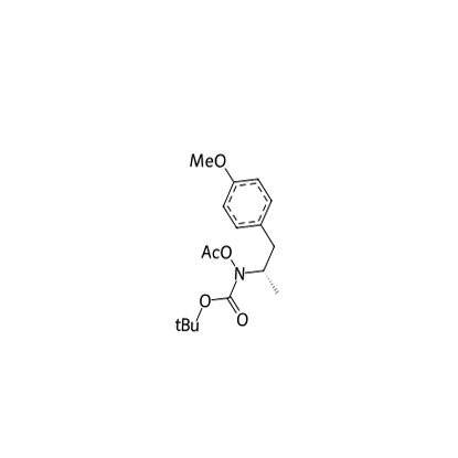 COc1ccc(C[C@H](C)N(OC(C)=O)C(=O)OC(C)(C)C)cc1